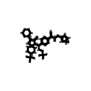 CC(C)(C)CC[C@H](c1ccc(C(=O)NCc2nn[nH]n2)cc1)N1C(=O)C(N2CCCCC2)=NC12CCC(C(C)(C)C)CC2